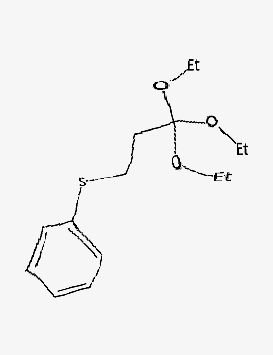 CCOC(CCSc1ccccc1)(OCC)OCC